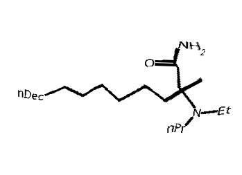 CCCCCCCCCCCCCCCCC(C)(C(N)=O)N(CC)CCC